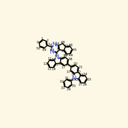 c1ccc(-c2nc3c(c(-n4c5ccccc5c5cc(-c6ccc7c8ccccc8n(-c8ccccc8)c7c6)ccc54)n2)-c2ccccc2C3)cc1